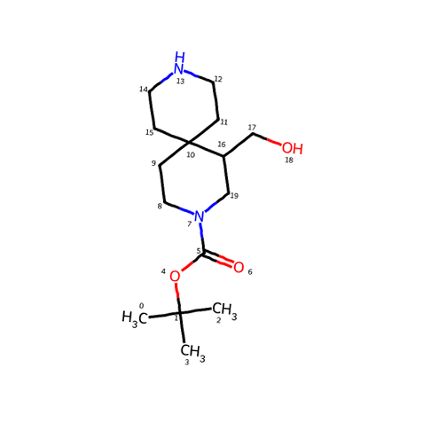 CC(C)(C)OC(=O)N1CCC2(CCNCC2)C(CO)C1